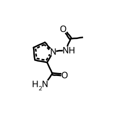 CC(=O)Nn1cccc1C(N)=O